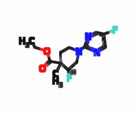 CCOC(=O)C1(C)CCN(c2ncc(F)cn2)C[C@H]1F